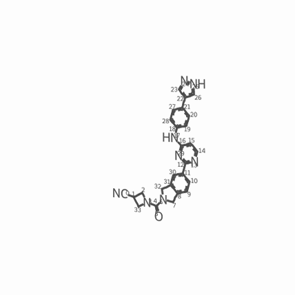 N#CC1CN(C(=O)N2Cc3ccc(-c4nccc(Nc5ccc(-c6cn[nH]c6)cc5)n4)cc3C2)C1